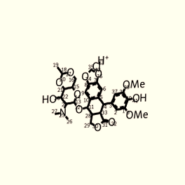 COc1cc(C2c3cc4c(cc3C(OC3OC5COC(C)OC5C(O)C3N(C)C)C3COC(=O)C23)OCO4)cc(OC)c1O.[Cl-].[H+]